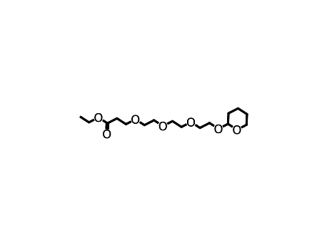 CCOC(=O)CCOCCOCCOCCOC1CCCCO1